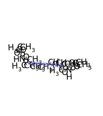 CC1=C(/C=C/C(C)=C/C=C/C(C)=C/C=C/C=C(C)/C=C/C=C(C)/C=C/C2=C(C)C(=O)C(Nc3ccc4c(c3)C(=O)OC(C)(C)O4)CC2(C)C)C(C)(C)CC(Nc2ccc3c(c2)C(=O)OC(C)(C)O3)C1=O